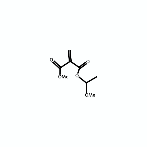 C=C(C(=O)OC)C(=O)OC(C)OC